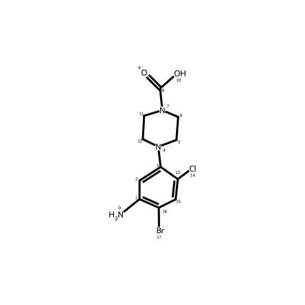 Nc1cc(N2CCN(C(=O)O)CC2)c(Cl)cc1Br